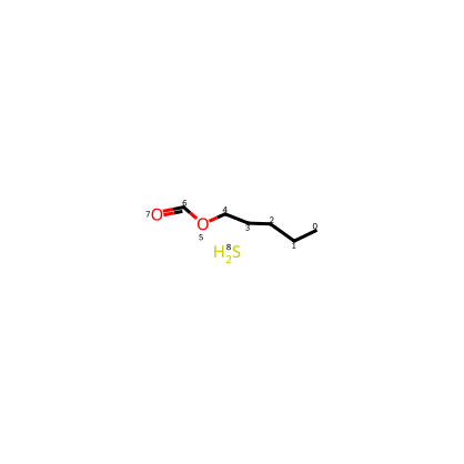 CCCCCOC=O.S